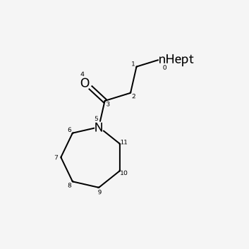 CCCCCCCCCC(=O)N1CCCCCC1